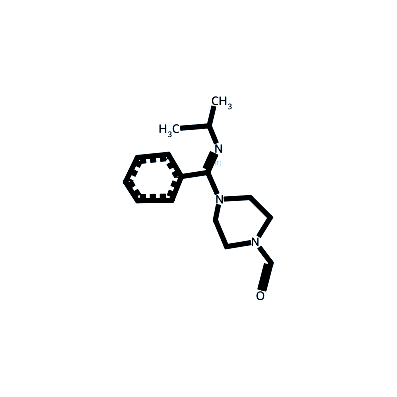 CC(C)/N=C(\c1ccccc1)N1CCN(C=O)CC1